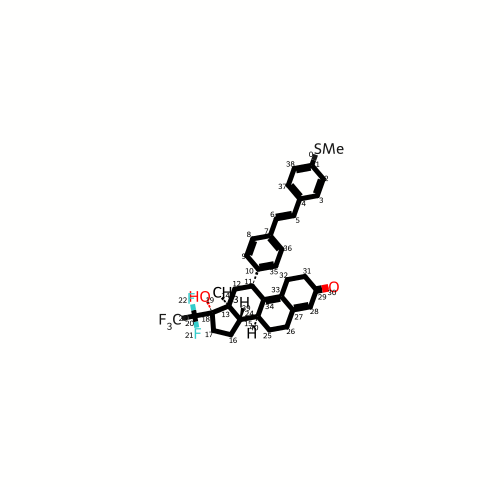 CSc1ccc(C=Cc2ccc([C@H]3C[C@@]4(C)[C@@H](CC[C@@]4(O)C(F)(F)C(F)(F)F)[C@@H]4CCC5=CC(=O)CCC5=C43)cc2)cc1